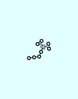 c1ccc(-c2ccc(-c3cccc(-c4ccc(-c5nc(-n6c7ccccc7c7ccccc76)nc(-n6c7ccccc7c7ccccc76)n5)cc4)c3)cc2)cc1